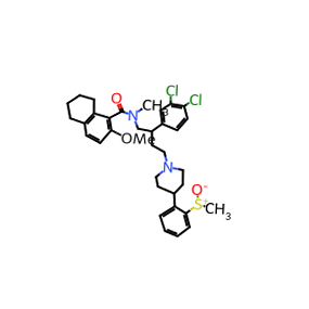 COc1ccc2c(c1C(=O)N(C)CC(CCN1CCC(c3ccccc3[S+](C)[O-])CC1)c1ccc(Cl)c(Cl)c1)CCCC2